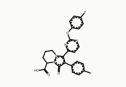 O=C(O)C1CCCn2c(-c3ccnc(Oc4ccc(F)cc4)n3)c(-c3ccc(F)cc3)c(=O)n21